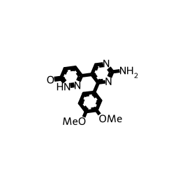 COc1ccc(-c2nc(N)ncc2-c2ccc(=O)[nH]n2)cc1OC